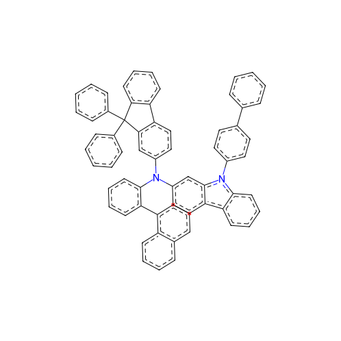 c1ccc(-c2ccc(-n3c4ccccc4c4ccc(N(c5ccc6c(c5)C(c5ccccc5)(c5ccccc5)c5ccccc5-6)c5ccccc5-c5cccc6ccccc56)cc43)cc2)cc1